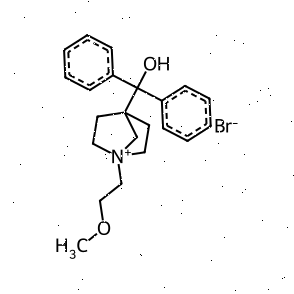 COCC[N+]12CCC(C(O)(c3ccccc3)c3ccccc3)(CC1)C2.[Br-]